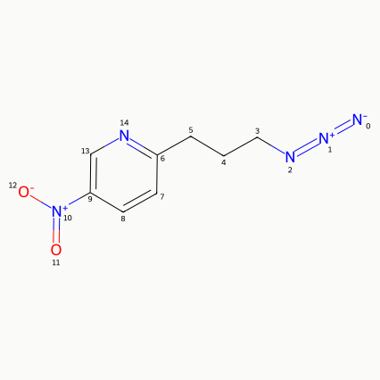 [N-]=[N+]=NCCCc1ccc([N+](=O)[O-])cn1